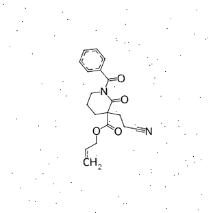 C=CCOC(=O)C1(CCC#N)CCCN(C(=O)c2ccccc2)C1=O